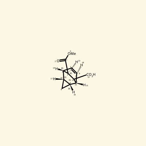 COC(=O)[C@@H]1[C@H]2C=C[C@H]([C@@H]3C[C@H]23)[C@@H]1C(=O)O